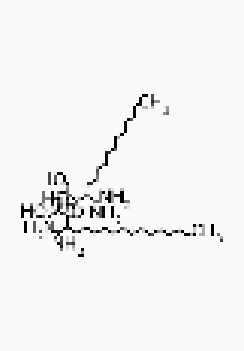 CCCCCCCCCCCCCCC(C(N)N)C(OC(C(O)CO)C(CCCCCCCCCCCC)C(N)N)C(O)CO